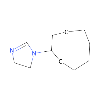 C1=NCCN1C1CCCCCCC1